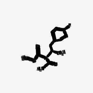 CC(C)(C)OC(=O)N(C(N)=O)[C@@H](Cc1ccc(F)cc1)C(=O)O